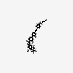 CCCCCc1ccc(C#Cc2ccc(-c3ccc(C(F)(F)Oc4cc(F)c(OC(F)(F)F)c(F)c4)c(F)c3)c(F)c2)cc1